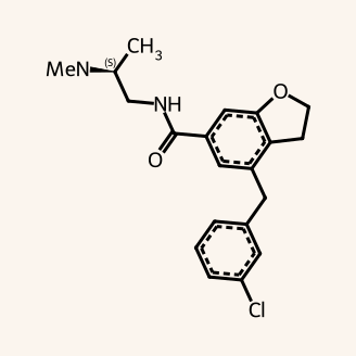 CN[C@@H](C)CNC(=O)c1cc(Cc2cccc(Cl)c2)c2c(c1)OCC2